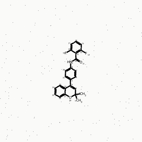 CC1(C)C=C(c2ccc(NC(=O)c3c(F)cccc3F)cc2)c2ccccc2O1